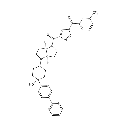 O=C(c1cn(C(=O)c2cccc(C(F)(F)F)c2)cn1)N1CC[C@@H]2[C@H]1CCN2C1CCC(O)(c2ccc(-c3ncccn3)cn2)CC1